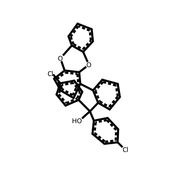 OC(c1ccc(Cl)cc1)(c1ccc(Cl)cc1)c1ccccc1-c1cccc2c1Oc1ccccc1O2